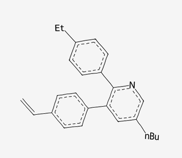 C=Cc1ccc(-c2cc(CCCC)cnc2-c2ccc(CC)cc2)cc1